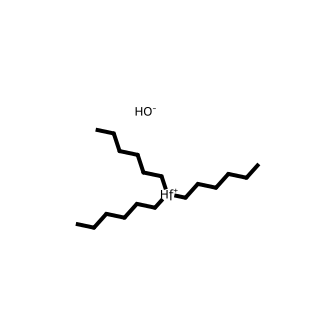 CCCCC[CH2][Hf+]([CH2]CCCCC)[CH2]CCCCC.[OH-]